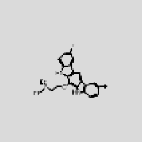 CCN(CC)CCOc1c2[nH]c3ccc(F)cc3c2cc2c1[nH]c1ccc(F)cc12